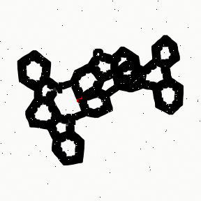 c1ccc2c(c1)oc1cc(-n3c4ccccc4c4ccc5c6ccccc6n(-c6ccc(-c7ccc8c9ccccc9c9ccccc9c8c7)cc6)c5c43)ccc12